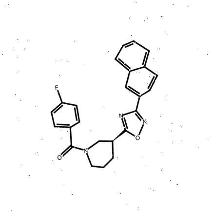 O=C(c1ccc(F)cc1)N1CCC[C@H](c2nc(-c3ccc4ccccc4c3)no2)C1